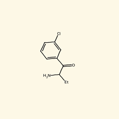 CCC(N)C(=O)c1cccc(Cl)c1